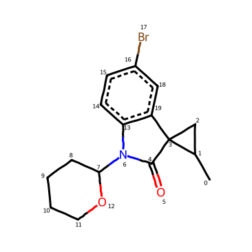 CC1CC12C(=O)N(C1CCCCO1)c1ccc(Br)cc12